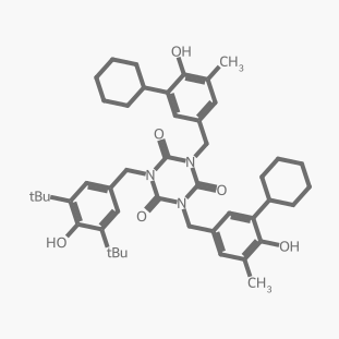 Cc1cc(Cn2c(=O)n(Cc3cc(C)c(O)c(C4CCCCC4)c3)c(=O)n(Cc3cc(C(C)(C)C)c(O)c(C(C)(C)C)c3)c2=O)cc(C2CCCCC2)c1O